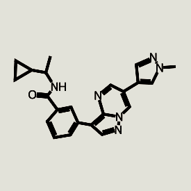 CC(NC(=O)c1cccc(-c2cnn3cc(-c4cnn(C)c4)cnc23)c1)C1CC1